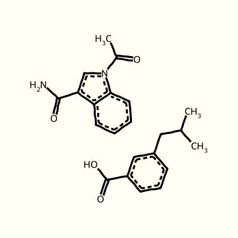 CC(=O)n1cc(C(N)=O)c2ccccc21.CC(C)Cc1cccc(C(=O)O)c1